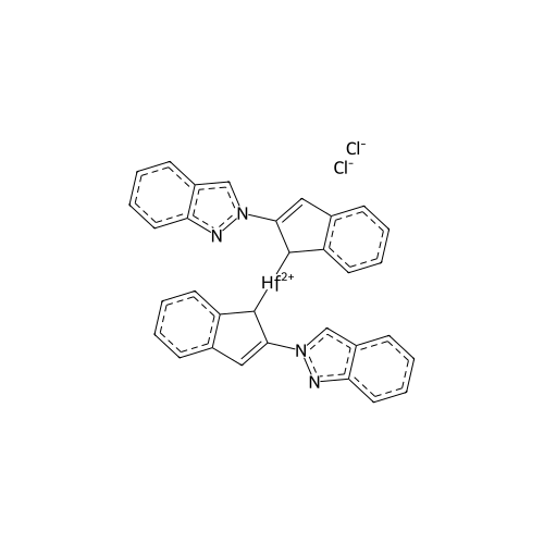 C1=C(n2cc3ccccc3n2)[CH]([Hf+2][CH]2C(n3cc4ccccc4n3)=Cc3ccccc32)c2ccccc21.[Cl-].[Cl-]